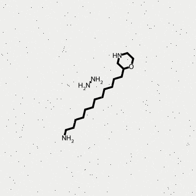 NCCCCCCCCCCCCC1CNCCO1.NN